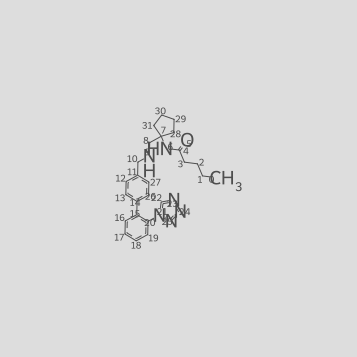 CCCCC(=O)NC1(CNCc2ccc(-c3ccccc3-n3cnnn3)cc2)CCCC1